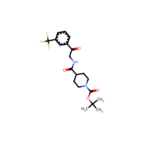 CC(C)(C)OC(=O)N1CCC(C(=O)NCC(=O)c2cccc(C(F)(F)F)c2)CC1